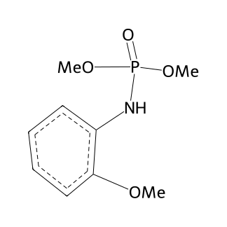 COc1ccccc1NP(=O)(OC)OC